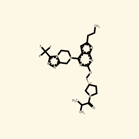 CCCc1cc2c(N3CCn4c(nnc4C(F)(F)F)C3)nc(OC[C@@H]3CCN(C(=O)C(C)C)C3)nc2s1